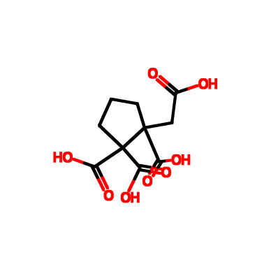 O=C(O)CC1(C(=O)O)CCCC1(C(=O)O)C(=O)O